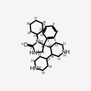 O=C1NC[C@](c2ccccc2)(C2CCNCC2C2CCNCC2)N1C1CCCCC1